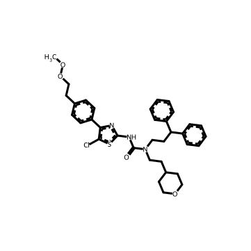 COOCCc1ccc(-c2nc(NC(=O)N(CCC3CCOCC3)CCC(c3ccccc3)c3ccccc3)sc2Cl)cc1